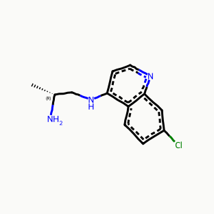 C[C@@H](N)CNc1ccnc2cc(Cl)ccc12